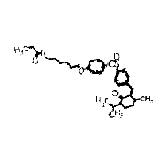 C=CC(=O)OCCCCCCOc1cc[c]([Co](=[O])[c]2ccc(CC3C(=O)C(C(C)C)CCC3C)cc2)cc1